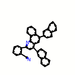 N#Cc1ccccc1-c1cc(-c2ccc3ccccc3c2)c2cc(-c3ccc4ccccc4c3)c3ccccc3c2n1